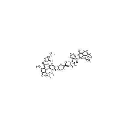 CCNC(=O)C1NN=C(c2cc(C(C)C)c(O)cc2O)N1c1ccc(OC2CCN(C(=O)OC3=CCC4N=C5C(=C(CC)C4=C3)Cn3c5cc4c(c3=O)COC(=O)C4(O)CC)CC2)nc1